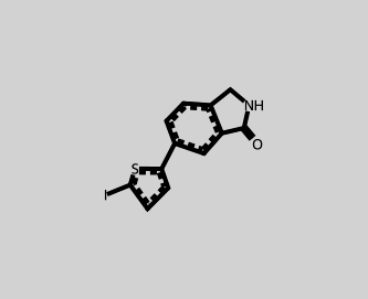 O=C1NCc2ccc(-c3ccc(I)s3)cc21